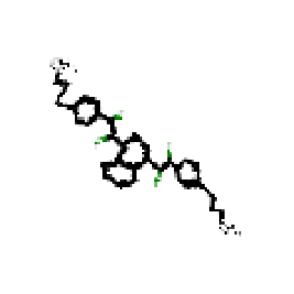 CCCCc1ccc(/C(F)=C(\F)c2ccc(/C(F)=C(\F)c3ccc(CCCC)cc3)c3ccccc23)cc1